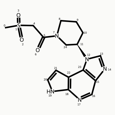 CS(=O)(=O)CC(=O)N1CCC[C@@H](n2cnc3cnc4[nH]ccc4c32)C1